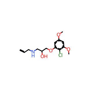 C=CCNCC(O)COc1cc(OC)cc(OC)c1Cl